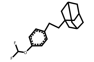 FC(F)Oc1ccc(CCC23CC4CC(CC(C4)C2)C3)cc1